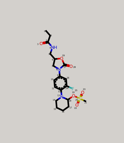 CCC(=O)NCC1CN(c2ccc(N3CCCCC3OS(C)(=O)=O)c(F)c2)C(=O)O1